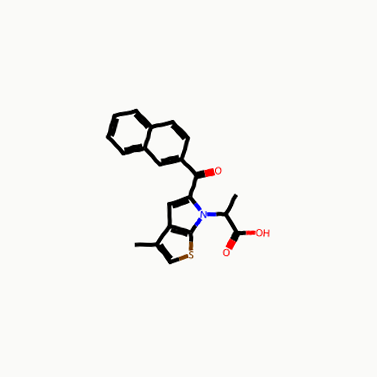 Cc1csc2c1cc(C(=O)c1ccc3ccccc3c1)n2C(C)C(=O)O